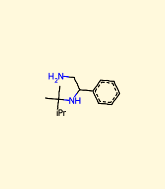 CC(C)C(C)(C)NC(CN)c1ccccc1